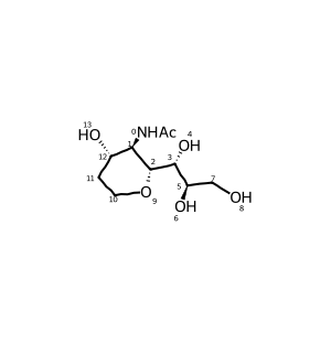 CC(=O)N[C@H]1[C@H]([C@H](O)[C@H](O)CO)OCC[C@@H]1O